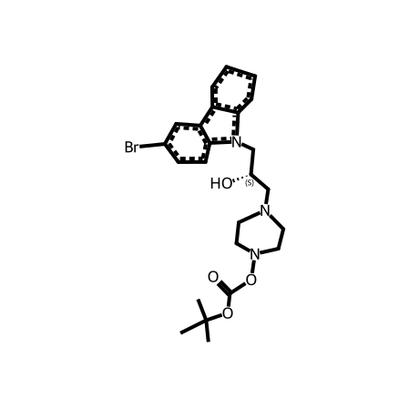 CC(C)(C)OC(=O)ON1CCN(C[C@H](O)Cn2c3ccccc3c3cc(Br)ccc32)CC1